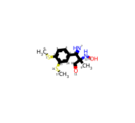 CSc1ccc(C(=N)C(C)(C=O)NO)cc1SC